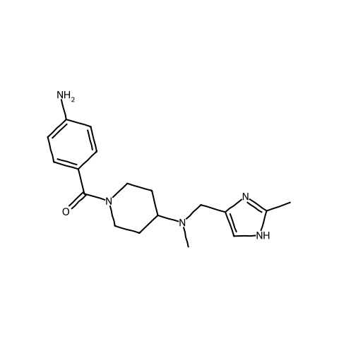 Cc1nc(CN(C)C2CCN(C(=O)c3ccc(N)cc3)CC2)c[nH]1